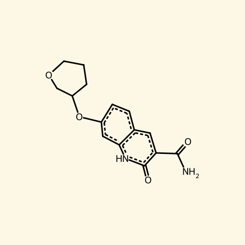 NC(=O)c1cc2ccc(OC3CCCOC3)cc2[nH]c1=O